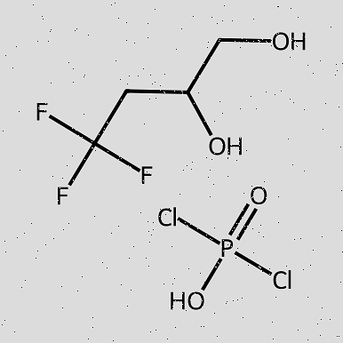 O=P(O)(Cl)Cl.OCC(O)CC(F)(F)F